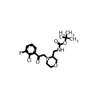 CC(C)(C)OC(=O)NCC1COCCN1CC(=O)c1cccc(F)c1Cl